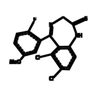 COc1ccc(F)c(C2=NCC(=S)Nc3ccc(Cl)c(Cl)c32)c1